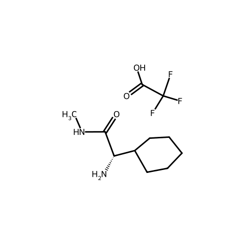 CNC(=O)[C@@H](N)C1CCCCC1.O=C(O)C(F)(F)F